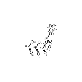 O.O=P[O-].O=P[O-].O=P[O-].O=P[O-].[Ca+2].[Fe+2]